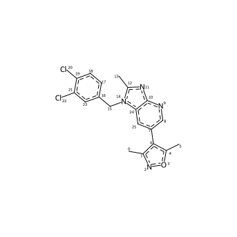 Cc1noc(C)c1-c1cnc2nc(C)n(Cc3ccc(Cl)c(Cl)c3)c2c1